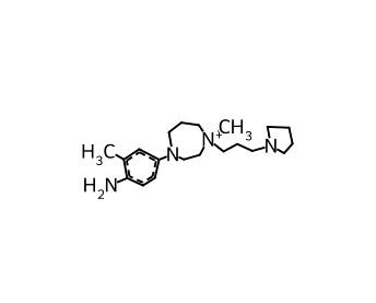 Cc1cc(N2CCC[N+](C)(CCCN3CCCC3)CC2)ccc1N